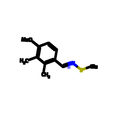 COc1ccc(/C=N/SC(C)(C)C)c(C)c1C